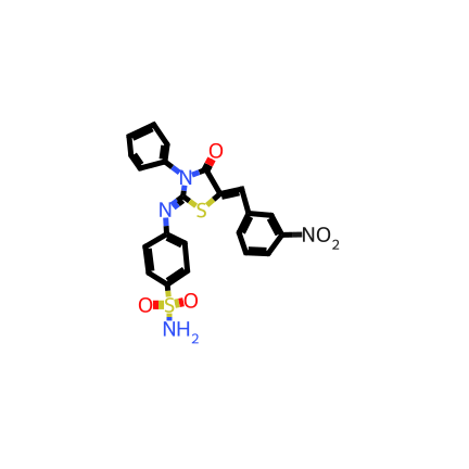 NS(=O)(=O)c1ccc(/N=C2\SC(=Cc3cccc([N+](=O)[O-])c3)C(=O)N2c2ccccc2)cc1